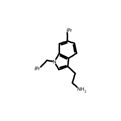 CC(C)Cn1cc(CCN)c2ccc(C(C)C)cc21